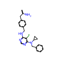 C=C(N)Cc1ccc(CNc2ncnc(N(Cc3ccccc3)C3CC3)c2F)cc1